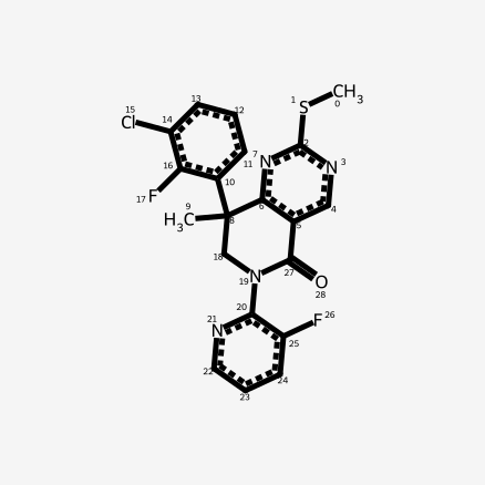 CSc1ncc2c(n1)C(C)(c1cccc(Cl)c1F)CN(c1ncccc1F)C2=O